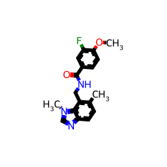 COc1ccc(C(=O)NCc2c(C)ccc3ncn(C)c23)cc1F